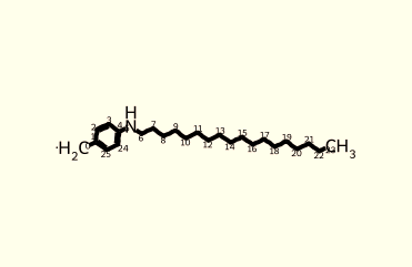 [CH2]c1ccc(NCCCCCCCCCCCCCCCCCC)cc1